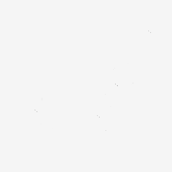 CCN1CCC[C@H]1C(=O)OCCN(C(C)=O)C(=O)C(C)N1C(=O)C2=CC=C(N)CC2C1=O